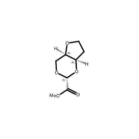 COC(=O)[C@@H]1OC[C@H]2OCC[C@H]2O1